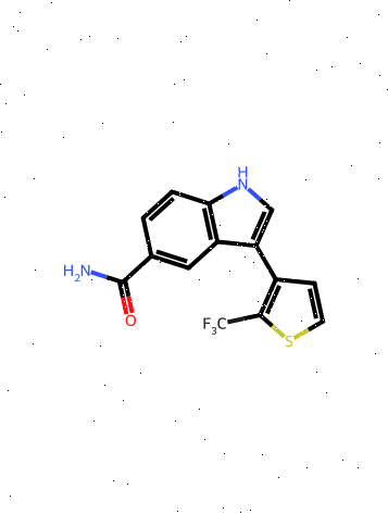 NC(=O)c1ccc2[nH]cc(-c3ccsc3C(F)(F)F)c2c1